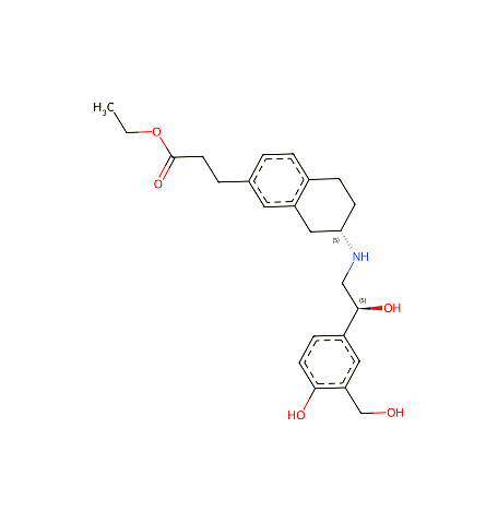 CCOC(=O)CCc1ccc2c(c1)C[C@@H](NC[C@@H](O)c1ccc(O)c(CO)c1)CC2